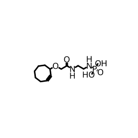 O=C(COC1C#CCCCCC1)NCCNP(=O)(O)O